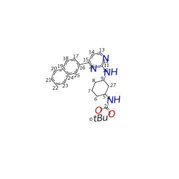 CC(C)(C)OC(=O)NC1CCCC(Nc2nccc(-c3ccc4ccccc4c3)n2)C1